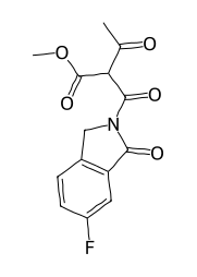 COC(=O)C(C(C)=O)C(=O)N1Cc2ccc(F)cc2C1=O